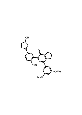 CNc1ccc(N2CCC(O)C2)cc1-n1nc(-c2cc(OC)cc(OC)c2)c2c(c1=O)CCC2